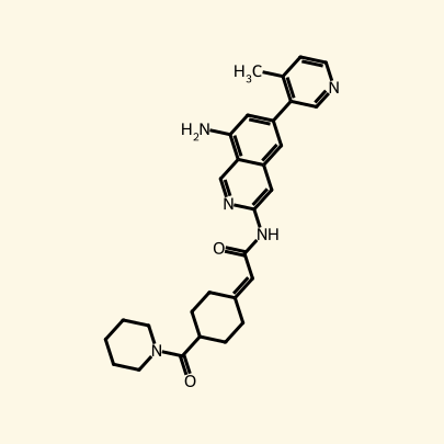 Cc1ccncc1-c1cc(N)c2cnc(NC(=O)C=C3CCC(C(=O)N4CCCCC4)CC3)cc2c1